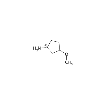 COC1CC[C@@H](N)C1